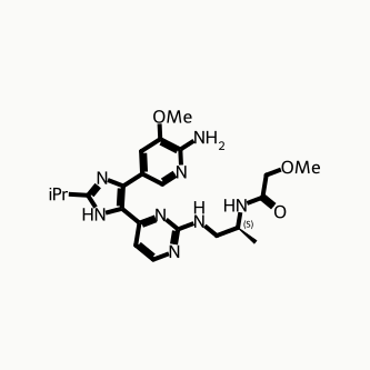 COCC(=O)N[C@@H](C)CNc1nccc(-c2[nH]c(C(C)C)nc2-c2cnc(N)c(OC)c2)n1